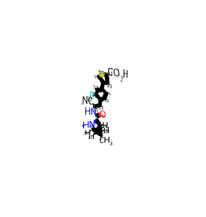 C[C@H]1[C@H]2[C@H]3C[C@H](N[C@@H]3C(=O)N[C@H](C#N)Cc3ccc(-c4csc(C(=O)O)c4)cc3F)[C@@H]12